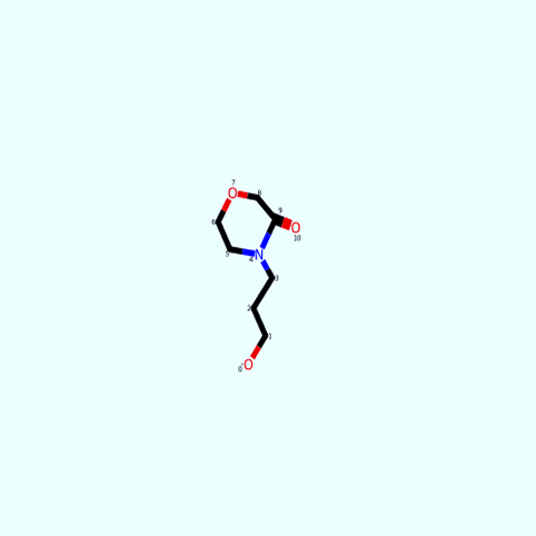 [O]CCCN1CCOCC1=O